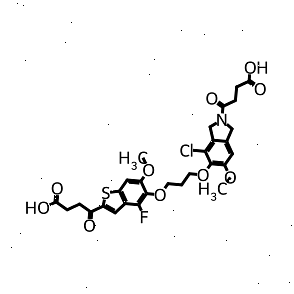 COc1cc2c(c(Cl)c1OCCCOc1c(OC)cc3sc(C(=O)CCC(=O)O)cc3c1F)CN(C(=O)CCC(=O)O)C2